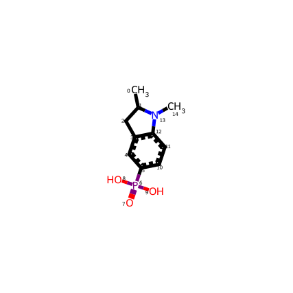 CC1Cc2cc(P(=O)(O)O)ccc2N1C